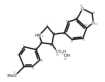 COc1ccc(C2NCC(c3ccc4c(c3)OCO4)C2C(=O)O)cc1.Cl